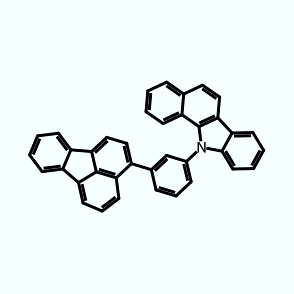 c1cc(-c2ccc3c4c(cccc24)-c2ccccc2-3)cc(-n2c3ccccc3c3ccc4ccccc4c32)c1